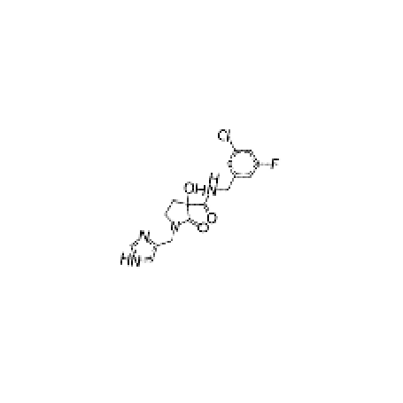 O=C(NCc1cc(F)cc(Cl)c1)C1(O)CCN(Cc2c[nH]cn2)C1=O